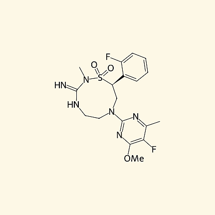 COc1nc(N2CCNC(=N)N(C)S(=O)(=O)[C@@H](c3ccccc3F)C2)nc(C)c1F